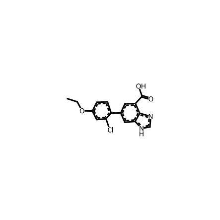 CCOc1ccc(-c2cc(C(=O)O)c3nc[nH]c3c2)c(Cl)c1